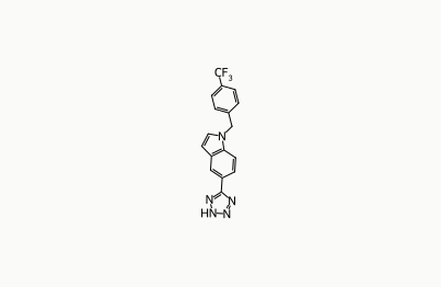 FC(F)(F)c1ccc(Cn2ccc3cc(-c4nn[nH]n4)ccc32)cc1